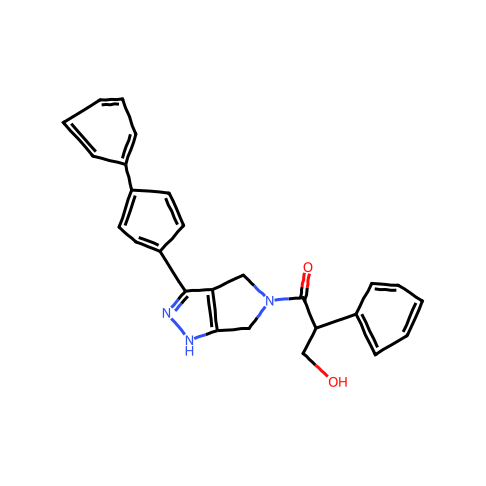 O=C(C(CO)c1ccccc1)N1Cc2[nH]nc(-c3ccc(-c4ccccc4)cc3)c2C1